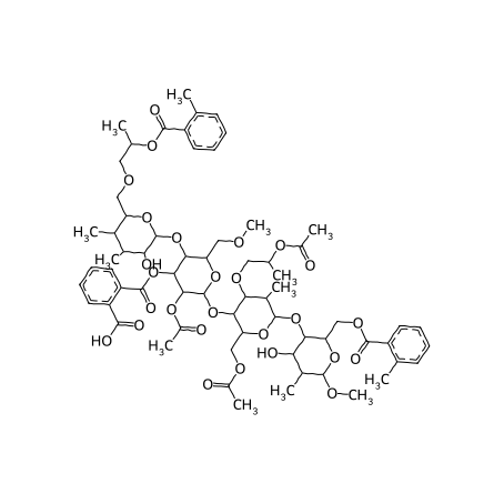 COCC1OC(OC2C(COC(C)=O)OC(OC3C(COC(=O)c4ccccc4C)OC(OC)C(C)C3O)C(C)C2OCC(C)OC(C)=O)C(OC(C)=O)C(OC(=O)c2ccccc2C(=O)O)C1OC1OC(COCC(C)OC(=O)c2ccccc2C)C(C)C(C)C1O